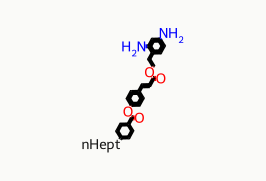 CCCCCCCC1CCC(C(=O)Oc2ccc(C=CC(=O)OCCc3ccc(N)cc3N)cc2)CC1